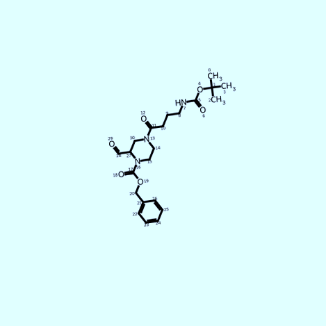 CC(C)(C)OC(=O)NCCCC(=O)N1CCN(C(=O)OCc2ccccc2)C(C=O)C1